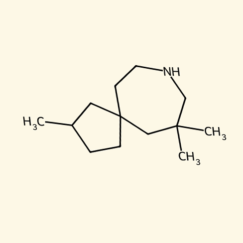 CC1CCC2(CCNCC(C)(C)C2)C1